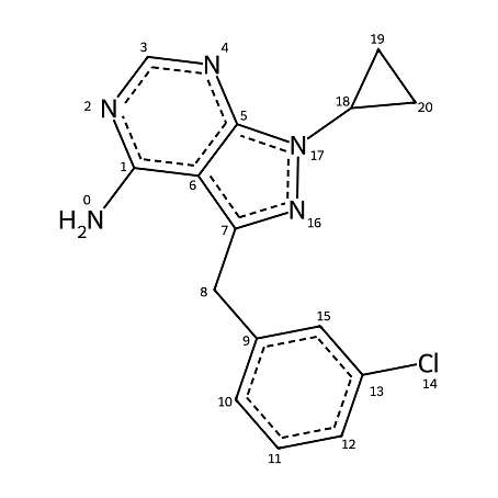 Nc1ncnc2c1c(Cc1cccc(Cl)c1)nn2C1CC1